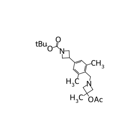 CC(=O)OC1(C)CN(Cc2c(C)cc(C3CN(C(=O)OC(C)(C)C)C3)cc2C)C1